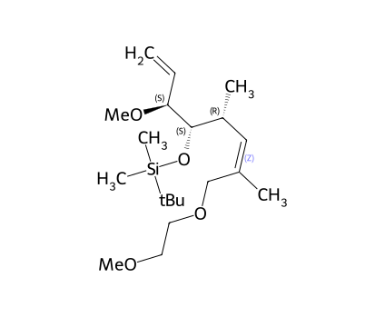 C=C[C@H](OC)[C@@H](O[Si](C)(C)C(C)(C)C)[C@H](C)/C=C(/C)COCCOC